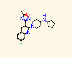 Cc1nc(-c2cc3ccc(F)cc3nc2N2CCC(NC3CCCC3)CC2)no1